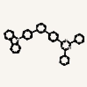 c1ccc(-c2nc(-c3ccccc3)nc(-c3ccc(-c4cccc(-c5ccc(-n6c7ccccc7c7ccccc76)cc5)c4)cc3)n2)cc1